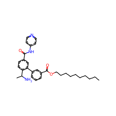 CCCCCCCCCCOC(=O)c1cccc(-c2cc(C(=O)Nc3ccncc3)ccc2C(C)N)c1